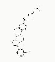 C[C@]12CCC3c4ccc(C(=O)NCCCC(=O)O)cc4CCC3C1CC=C2c1cncc(F)c1